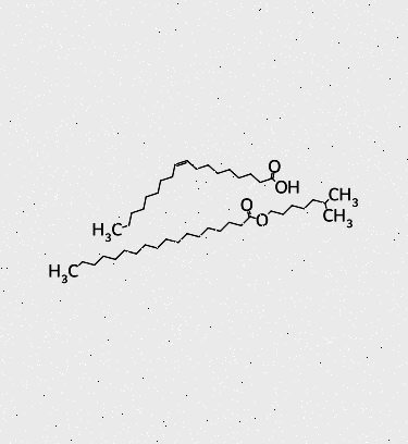 CCCCCCCC/C=C\CCCCCCCC(=O)O.CCCCCCCCCCCCCCCCCC(=O)OCCCCCC(C)C